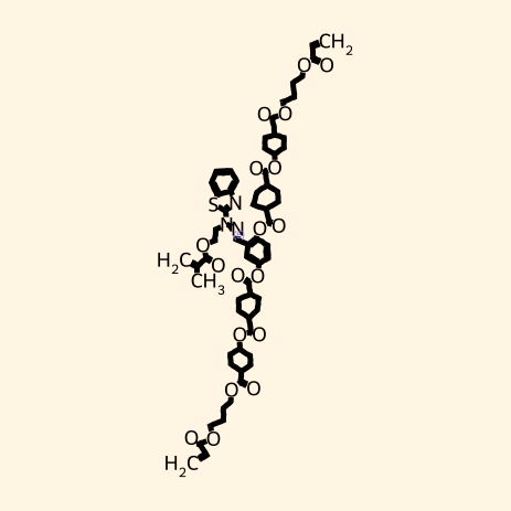 C=CC(=O)OCCCCOC(=O)C1CCC(OC(=O)C2CCC(C(=O)Oc3ccc(OC(=O)C4CCC(C(=O)OC5CCC(C(=O)OCCCCOC(=O)C=C)CC5)CC4)c(/C=N/N(CCOC(=O)C(=C)C)c4nc5ccccc5s4)c3)CC2)CC1